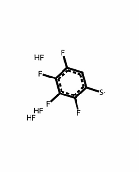 F.F.F.Fc1cc([S])c(F)c(F)c1F